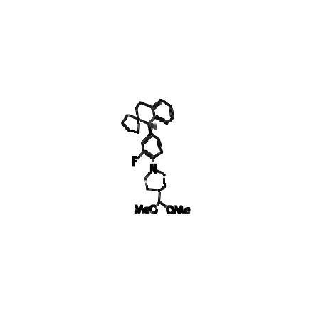 COC(OC)C1CCN(c2ccc([C@@H]3c4ccccc4CCC34CCCC4)cc2F)CC1